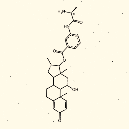 CC1CC2C3CCC4=CC(=O)C=CC4(C)C3C(O)CC2(C)C1OC(=O)c1ccnc(NC(=O)[C@H](C)N)c1